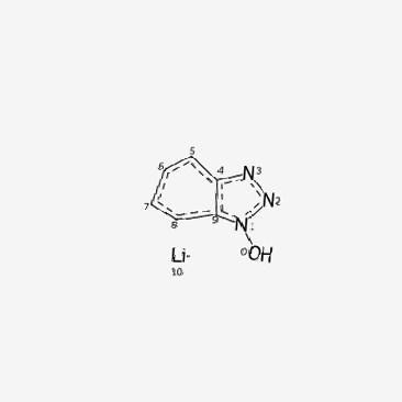 On1nnc2ccccc21.[Li]